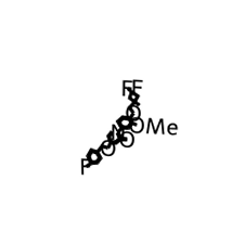 COc1cc(-n2ccc(OCc3ccc(F)cc3)cc2=O)ccc1OCC1(C)CC(F)(F)C1